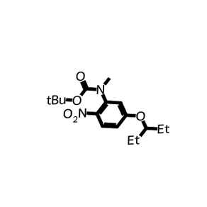 CCC(CC)Oc1ccc([N+](=O)[O-])c(N(C)C(=O)OC(C)(C)C)c1